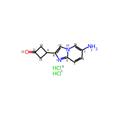 Cl.Cl.Nc1ccc2nc(C3CC(=O)C3)cn2c1